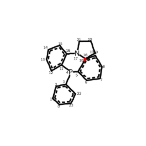 c1ccc(P(c2ccccc2)c2ccccc2N2CCCC2)cc1